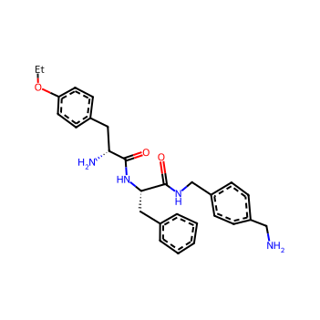 CCOc1ccc(C[C@@H](N)C(=O)N[C@@H](Cc2ccccc2)C(=O)NCc2ccc(CN)cc2)cc1